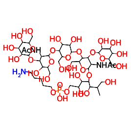 CC(=O)NC1C(OC2C(CO)OC(OC3C(CO)OC(OC(C(O)C(C)CO)C(O)C(O)COP(=O)(O)OCCCCCN)C(NC(C)=O)C3OC3OC(CO)C(O)C(O)C3O)C(O)C2O)OC(CO)C(O)C1OC1OC(CO)C(O)C(O)C1O